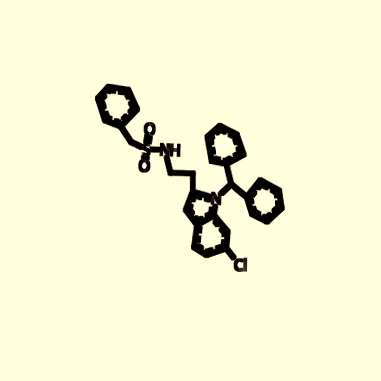 O=S(=O)(Cc1ccccc1)NCCc1cc2ccc(Cl)cc2n1C(c1ccccc1)c1ccccc1